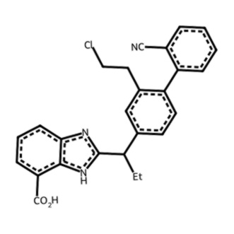 CCC(c1ccc(-c2ccccc2C#N)c(CCCl)c1)c1nc2cccc(C(=O)O)c2[nH]1